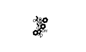 CCC(=O)N(CCOC(c1ccccc1)(c1ccccc1)C(O)C(=O)OC)S(=O)(=O)c1ccccc1